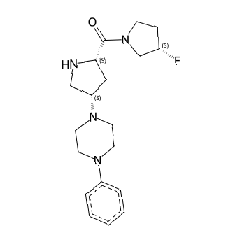 O=C([C@@H]1C[C@H](N2CCN(c3ccccc3)CC2)CN1)N1CC[C@H](F)C1